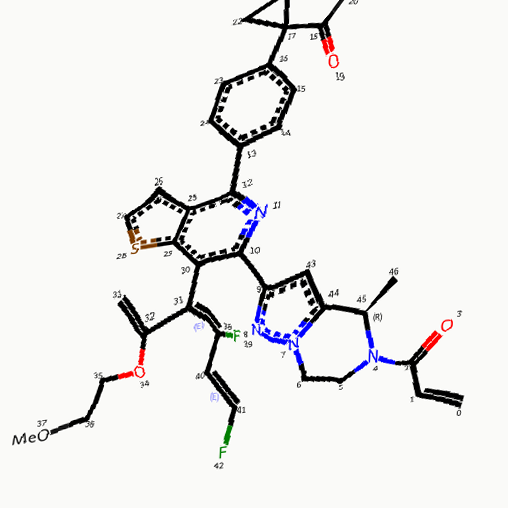 C=CC(=O)N1CCn2nc(-c3nc(-c4ccc(C5(C(=O)NC)CC5)cc4)c4ccsc4c3/C(C(=C)OCCOC)=C(F)/C=C/F)cc2[C@H]1C